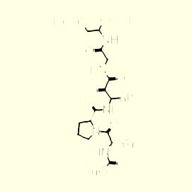 CCCC(NC(=O)[C@@H]1CCCN1C(=O)[C@@H](NC(=O)OCC(C)C)C(C)C)C(=O)C(=O)NCC(=O)NC(CC(=O)O)C(=O)O